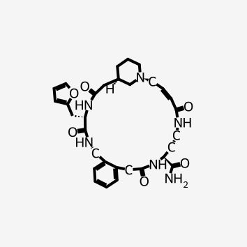 NC(=O)[C@@H]1CCNC(=O)/C=C\C[N@]2CCC[C@H](CC(=O)N[C@@H](Cc3ccco3)C(=O)NCc3ccccc3CC(=O)N1)C2